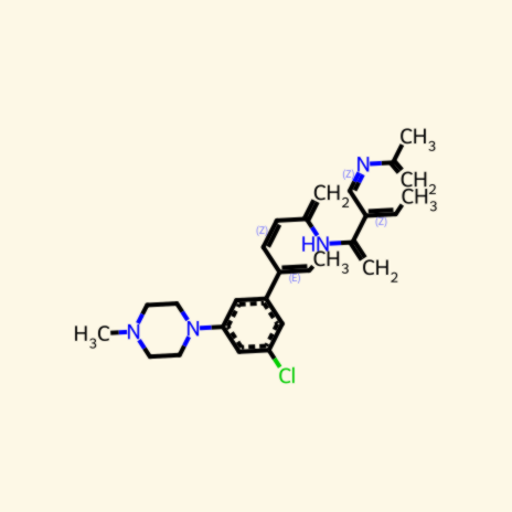 C=C(C)/N=C\C(=C/C)C(=C)NC(=C)/C=C\C(=C/C)c1cc(Cl)cc(N2CCN(C)CC2)c1